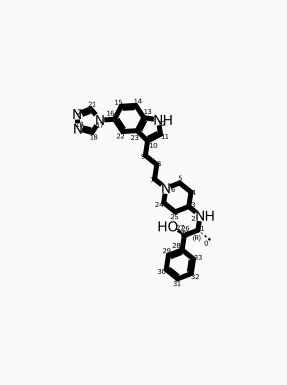 C[C@@H](NC1CCN(CCCc2c[nH]c3ccc(-n4cnnc4)cc23)CC1)[C@H](O)c1ccccc1